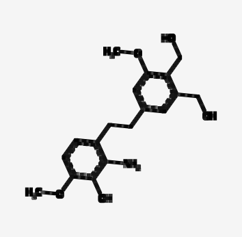 COc1ccc(CCc2cc(CO)c(CO)c(OC)c2)c(N)c1O